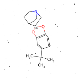 CC(C)(C)c1ccc2c(c1)O[C@]1(CN3CCC1CC3)O2